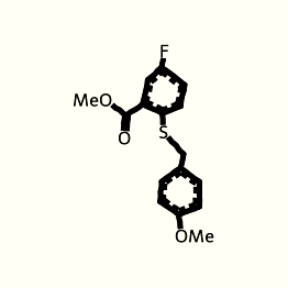 COC(=O)c1cc(F)ccc1SCc1ccc(OC)cc1